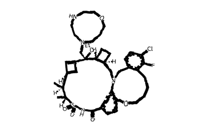 CCO[C@@]1(CN2CCCOCCNCC2)C2=C[C@@H](C2)[C@H](C)[C@@H](C)S(=O)(=O)NC(=O)c2ccc3c(c2)N(Cc2ccc(Cl)c(F)c2CCCCO3)C[C@@H]2CC[C@H]21